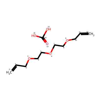 C=CCOCCOCCOCC=C.O=C(O)O